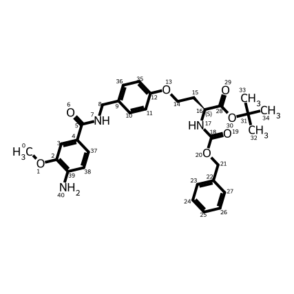 COc1cc(C(=O)NCc2ccc(OCC[C@H](NC(=O)OCc3ccccc3)C(=O)OC(C)(C)C)cc2)ccc1N